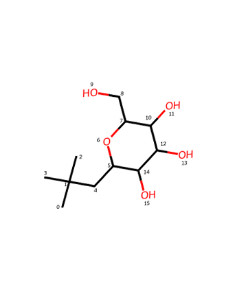 CC(C)(C)CC1OC(CO)C(O)C(O)C1O